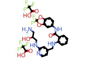 NCC(O)CNc1cc(CNc2ccccc2C(=O)Nc2ccc3c(c2)OC(F)(F)O3)ccn1.O=C(O)C(F)(F)F.O=C(O)C(F)(F)F